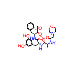 C[C@H](NC(=O)CN1CCOCC1)C(=O)N[C@@H](Cc1cc(O)cc(O)c1)C(=O)N[C@@H](Cc1ccccc1)C(=O)[C@@]1(C)CO1